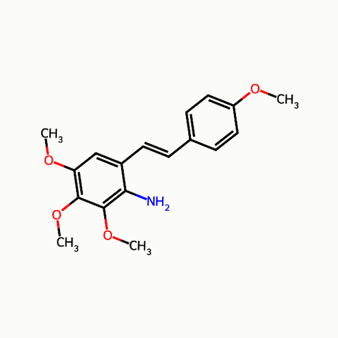 COc1ccc(C=Cc2cc(OC)c(OC)c(OC)c2N)cc1